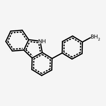 Bc1ccc(-c2cccc3c2[nH]c2ccccc23)cc1